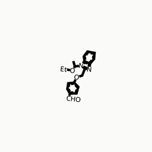 CCOC(C)n1c(COc2ccc(C=O)cc2)nc2ccccc21